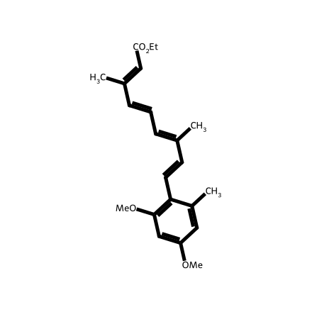 CCOC(=O)C=C(C)C=CC=C(C)C=Cc1c(C)cc(OC)cc1OC